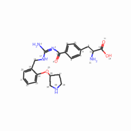 NC(=NC(=O)c1ccc(CC(N)C(=O)O)cc1)NCc1ccccc1OC1CCNC1